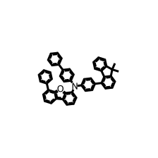 CC1(C)c2ccccc2-c2c(-c3ccc(N(c4ccc(-c5ccccc5)cc4)c4cccc5c4oc4c(-c6ccccc6)cccc45)cc3)cccc21